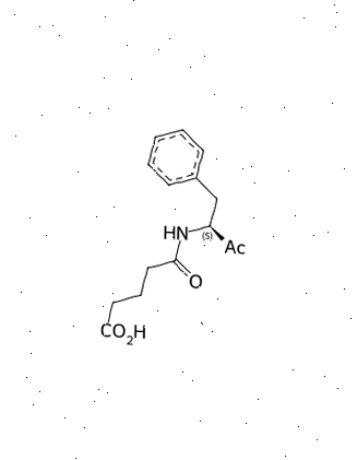 CC(=O)[C@H](Cc1ccccc1)NC(=O)CCCC(=O)O